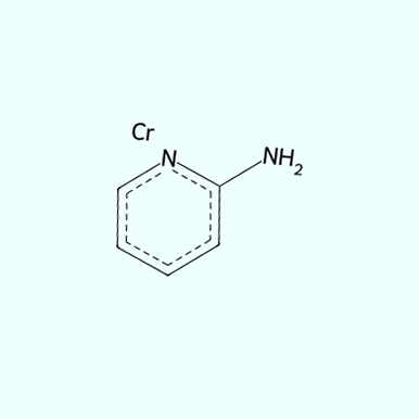 Nc1ccccn1.[Cr]